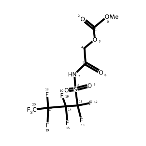 COC(=O)OCC(=O)NS(=O)(=O)C(F)(F)C(F)(F)C(F)(F)C(F)(F)F